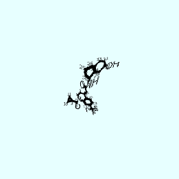 O=C(/C=C1\CCN(C(=O)C2CC2)c2cc(C(F)(F)F)ccc21)Nc1cccc2c1CC(O)CC2